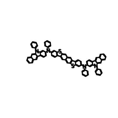 c1ccc(N(c2ccc3c(c2)sc2cc4cc5c(cc4cc23)sc2cc(N(c3ccccc3)c3ccc4c6cc7ccccc7cc6n(-c6ccccc6)c4c3)ccc25)c2ccc3c4cc5ccccc5cc4n(-c4ccccc4)c3c2)cc1